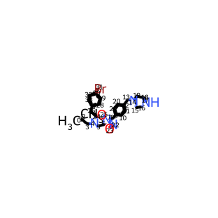 CC(C)CN(Cc1nc(-c2ccc(CN3CCNCC3)cc2)no1)C(=O)Cc1ccc(Br)cc1